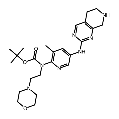 Cc1cc(Nc2ncc3c(n2)CNCC3)cnc1N(CCN1CCOCC1)C(=O)OC(C)(C)C